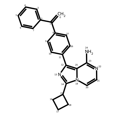 C=C(c1ccccc1)c1ccc(-c2nc(C3CCC3)n3ccnc(N)c23)cc1